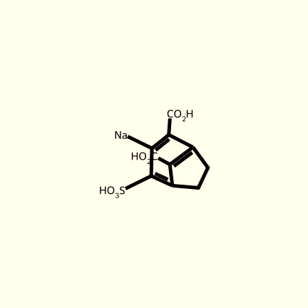 O=C(O)c1[c]([Na])c(S(=O)(=O)O)c2c(C(=O)O)c1CC2